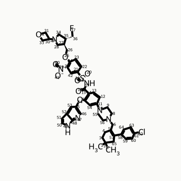 CC1(C)CCC(CN2CCN(c3ccc(C(=O)NS(=O)(=O)c4ccc(OC[C@H]5CN(C6COC6)C[C@@H]5CF)c([N+](=O)[O-])c4)c(Oc4cnc5[nH]ccc5c4)c3)CC2)=C(c2ccc(Cl)cc2)C1